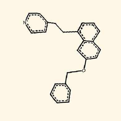 c1ccc(COc2ccc3cccc(CCc4ccncc4)c3c2)cc1